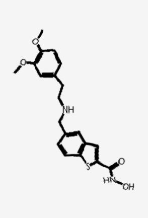 COc1ccc(CCNCc2ccc3sc(C(=O)NO)cc3c2)cc1OC